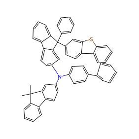 CC1(C)c2ccccc2-c2ccc(N(c3ccc(-c4ccccc4)cc3)c3ccc4c(c3)C(c3ccccc3)(c3ccc5c(c3)sc3ccccc35)c3ccccc3-4)cc21